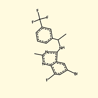 Cc1nc(NC(C)c2cccc(C(F)(F)F)c2)c2cc(Br)cc(F)c2n1